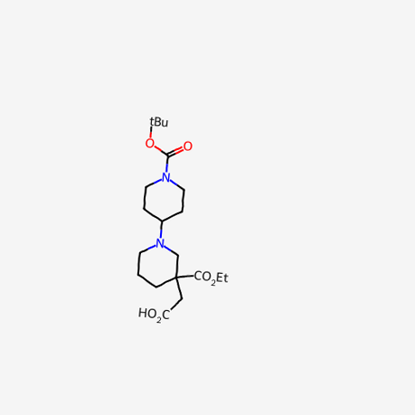 CCOC(=O)C1(CC(=O)O)CCCN(C2CCN(C(=O)OC(C)(C)C)CC2)C1